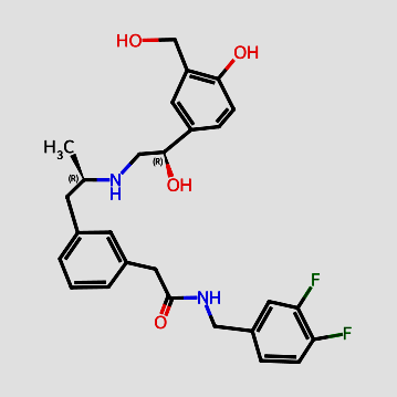 C[C@H](Cc1cccc(CC(=O)NCc2ccc(F)c(F)c2)c1)NC[C@H](O)c1ccc(O)c(CO)c1